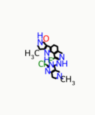 CC1CNC(=O)c2c1[nH]c1c2CCc2cnc(Nc3nc(Cl)nc4c3CN(C)CC4)c(F)c2-1